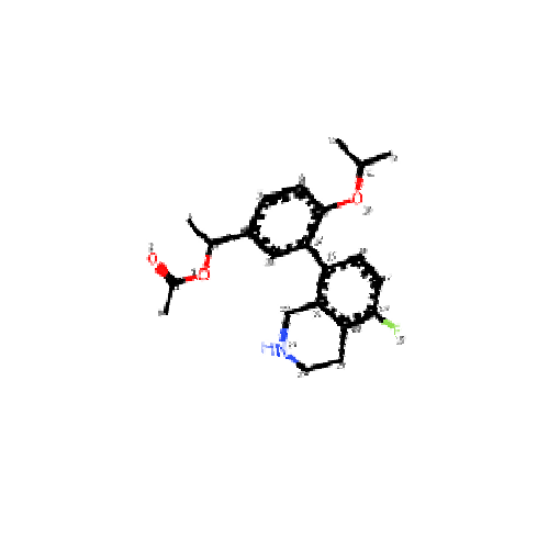 CC(=O)OC(C)c1ccc(OC(C)C)c(-c2ccc(F)c3c2CNCC3)c1